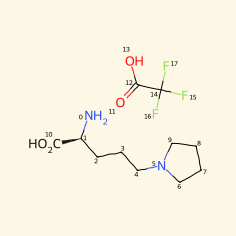 N[C@@H](CCCN1CCCC1)C(=O)O.O=C(O)C(F)(F)F